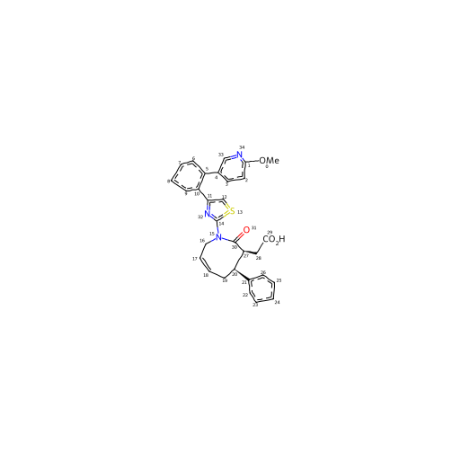 COc1ccc(-c2ccccc2-c2csc(N3CC=CC[C@H](c4ccccc4)[C@H](CC(=O)O)C3=O)n2)cn1